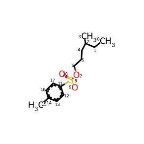 CCC(C)CCCOS(=O)(=O)c1ccc(C)cc1